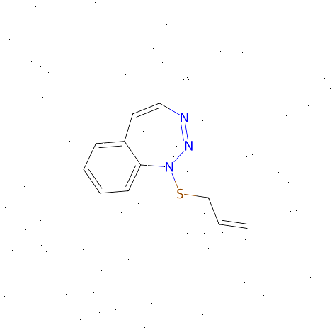 C=CCSN1N=NC=Cc2ccccc21